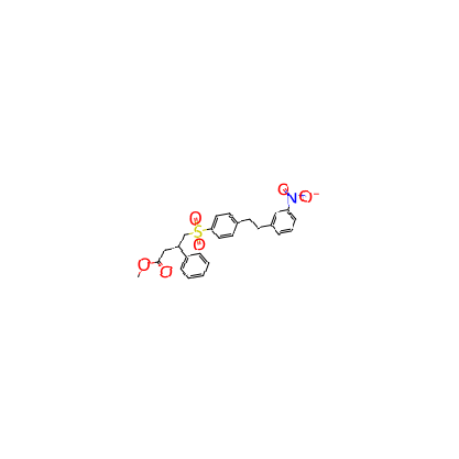 COC(=O)CC(CS(=O)(=O)c1ccc(CCc2cccc([N+](=O)[O-])c2)cc1)c1ccccc1